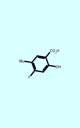 CC(C)(C)c1cc(C(=O)O)c(O)cc1F